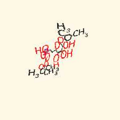 Cc1ccc(O[C@H]2O[C@H](CCP(=O)(O)OCOC(=O)C(C)(C)C)C(O)=C(O)[C@@H]2O)c(C)c1